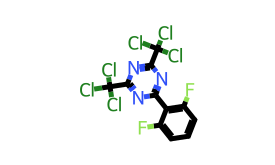 Fc1cccc(F)c1-c1nc(C(Cl)(Cl)Cl)nc(C(Cl)(Cl)Cl)n1